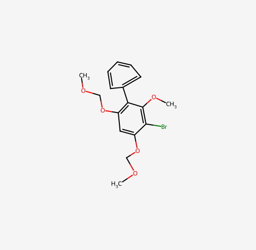 COCOc1cc(OCOC)c(-c2ccccc2)c(OC)c1Br